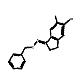 Cc1cc2c(cc1Br)CC/C2=N\OCc1ccccc1